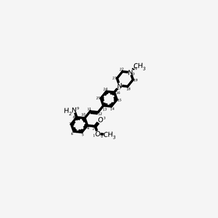 COC(=O)c1cccc(N)c1C=Cc1ccc(N2CCN(C)CC2)cc1